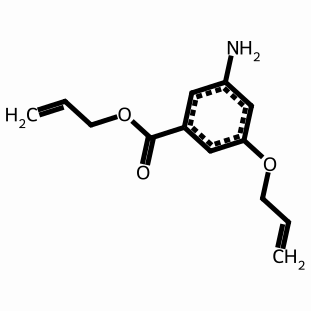 C=CCOC(=O)c1cc(N)cc(OCC=C)c1